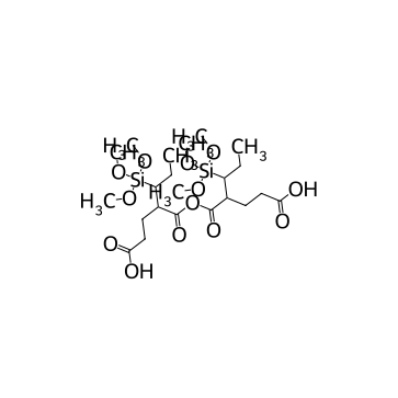 CCC(C(CCC(=O)O)C(=O)OC(=O)C(CCC(=O)O)C(CC)[Si](OC)(OC)OC)[Si](OC)(OC)OC